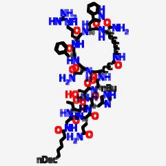 CCCCCCCCCCCCCCCC(=O)NCC(=O)N[C@H](C(=O)N[C@@H](CCC(N)=O)C(=O)N[C@@H](Cc1c[nH]cn1)C(=O)N[C@@H](CO)C(=O)N[C@@H](CCCC)C(=O)N[C@H]1CCC(=O)NCCCC[C@@H](C(N)=O)NC(=O)[C@H](Cc2c[nH]c3ccccc23)NC(=O)[C@H](CCCNC(=N)N)NC(=O)[C@@H](Cc2ccccc2)NC(=O)[C@H](CC(N)=O)NC1=O)C(C)O